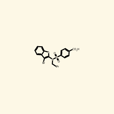 CC(C)CN(c1sc2ccccc2c1Br)S(=O)(=O)c1ccc(C(=O)O)cc1